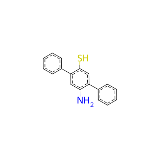 Nc1cc(-c2ccccc2)c(S)cc1-c1ccccc1